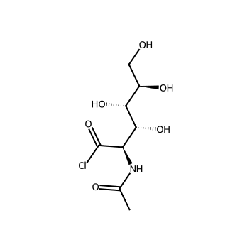 CC(=O)N[C@@H](C(=O)Cl)[C@@H](O)[C@H](O)[C@H](O)CO